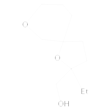 CCC1(CO)CCC2(CCCOC2)O1